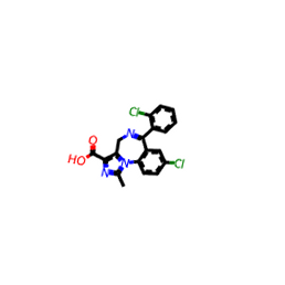 Cc1nc(C(=O)O)c2n1-c1ccc(Cl)cc1C(c1ccccc1Cl)=NC2